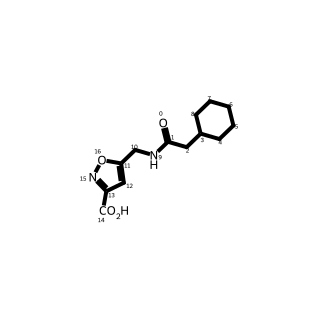 O=C(CC1CCCCC1)NCc1cc(C(=O)O)no1